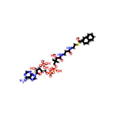 CC(C)(COP(=O)(O)OP(=O)(O)OC[C@H]1O[C@@H](n2cnc3c(N)ncnc32)[C@H](O)[C@@H]1OP(=O)(O)O)C(O)C(=O)NCCC(=O)NCCSC(=O)c1ccc2ccccc2c1